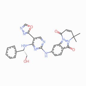 CC1(C)C=CC(=O)n2c3cc(Nc4ncc(-c5nnco5)c(N[C@H](CO)c5ccccc5)n4)ccc3c(=O)n21